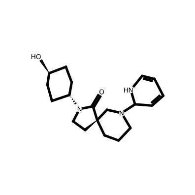 O=C1N([C@H]2CC[C@H](O)CC2)CC[C@@]12CCCN(C1C=C[C]=CN1)C2